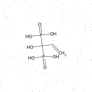 C=CC(O)(P(=O)(O)O)P(=O)(O)O